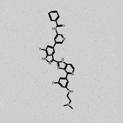 CN(C)CCNc1cc(F)cc(-c2nccc3[nH]c(-c4n[nH]c5c(F)cc(-c6cncc(NC(=O)c7ccccc7)c6)cc45)nc23)c1